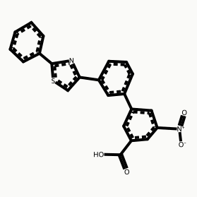 O=C(O)c1cc(-c2cccc(-c3csc(-c4ccccc4)n3)c2)cc([N+](=O)[O-])c1